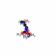 COc1cc(S(C)(=O)=O)ccc1N(C(=O)OCOC(=O)C(C)(C)CN)c1nc2ccc(-c3ccc(NC(=O)[C@H](C)c4ccc(F)cc4)cc3)cn2n1